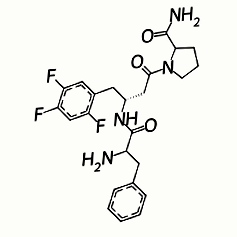 NC(=O)C1CCCN1C(=O)C[C@@H](Cc1cc(F)c(F)cc1F)NC(=O)C(N)Cc1ccccc1